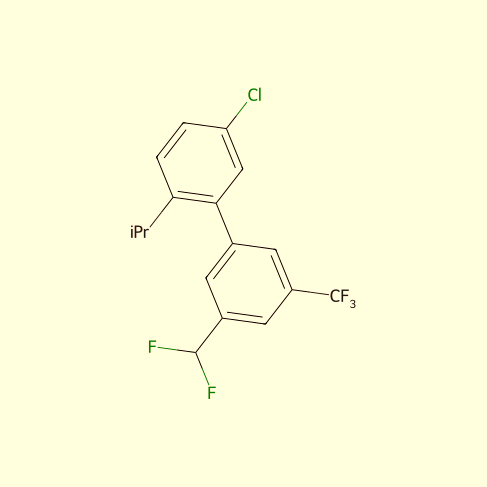 CC(C)c1ccc(Cl)cc1-c1cc(C(F)F)cc(C(F)(F)F)c1